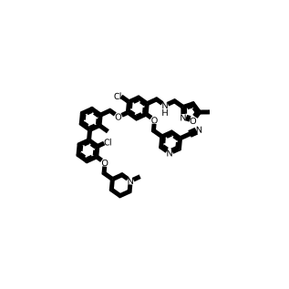 Cc1cc(CNCc2cc(Cl)c(OCc3cccc(-c4cccc(OCC5CCCN(C)C5)c4Cl)c3C)cc2OCc2cncc(C#N)c2)no1